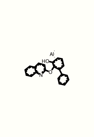 Oc1cccc(-c2ccccc2)c1Oc1ccc2ccccc2n1.[Al]